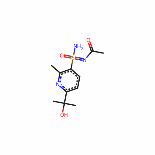 CC(=O)N=S(N)(=O)c1ccc(C(C)(C)O)nc1C